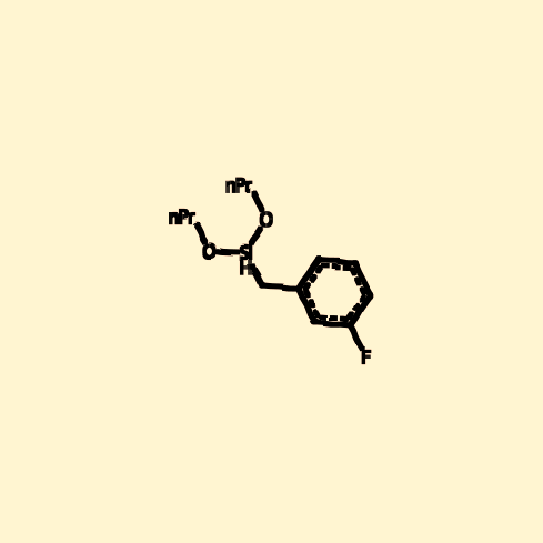 CCCO[SiH](Cc1cccc(F)c1)OCCC